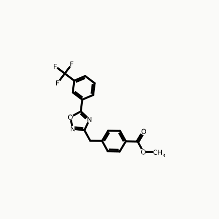 COC(=O)c1ccc(Cc2noc(-c3cccc(C(F)(F)F)c3)n2)cc1